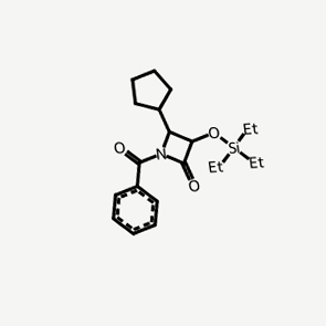 CC[Si](CC)(CC)OC1C(=O)N(C(=O)c2ccccc2)C1C1CCCC1